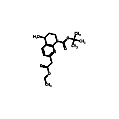 CCOC(=O)Cc1ccc2c(n1)N(C(=O)OC(C)(C)C)CCC2C